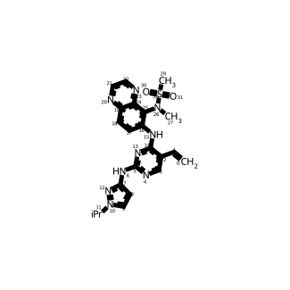 C=Cc1cnc(Nc2ccn(C(C)C)n2)nc1Nc1ccc2nccnc2c1N(C)S(C)(=O)=O